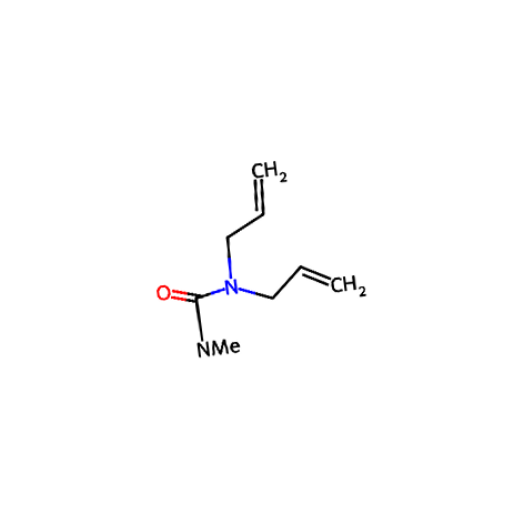 C=CCN(CC=C)C(=O)NC